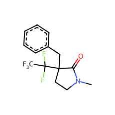 CN1CCC(Cc2ccccc2)(C(F)(F)C(F)(F)F)C1=O